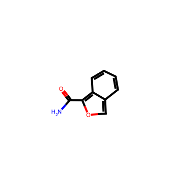 NC(=O)c1occ2ccccc12